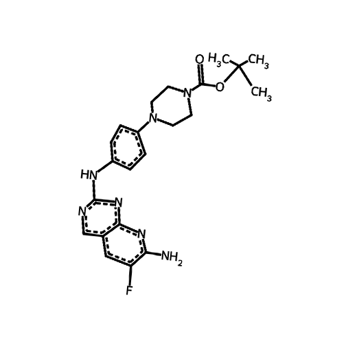 CC(C)(C)OC(=O)N1CCN(c2ccc(Nc3ncc4cc(F)c(N)nc4n3)cc2)CC1